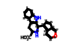 O=C(O)C1Cc2c([nH]c3ccccc23)C(c2ccc3coccc2-3)N1